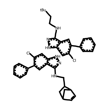 CC(C)(C)CCNc1n[nH]c2cc(Cl)c(-c3ccccc3)cc12.Clc1cc2[nH]nc(NCC3CC4C=CC3C4)c2cc1-c1ccccc1